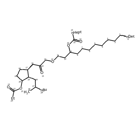 CCCCCCCCCCCCCCCCCCC(CCOCC(=O)CC1CCC(OC(=O)CC)C1CC(C)CCCC)OC(=O)CCCCCCC